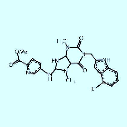 COC(=O)c1ccc(NC2NC3C(C(=O)N(Cc4cc5c(Cl)cccc5[nH]4)C(=O)N3C)N2C)cn1